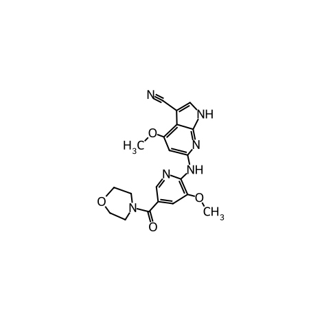 COc1cc(C(=O)N2CCOCC2)cnc1Nc1cc(OC)c2c(C#N)c[nH]c2n1